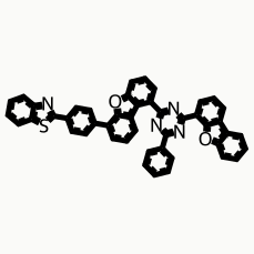 c1ccc(-c2nc(-c3cccc4c3oc3ccccc34)nc(-c3cccc4oc5c(-c6ccc(-c7nc8ccccc8s7)cc6)cccc5c34)n2)cc1